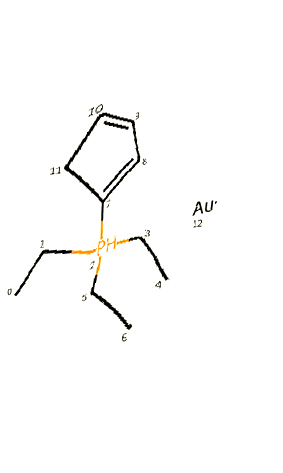 CC[PH](CC)(CC)C1=CC=CC1.[Au]